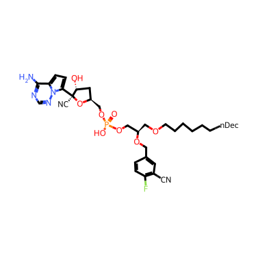 CCCCCCCCCCCCCCCCOC[C@H](COP(=O)(O)OC[C@@H]1C[C@@H](O)[C@](C#N)(c2ccc3c(N)ncnn23)O1)OCc1ccc(F)c(C#N)c1